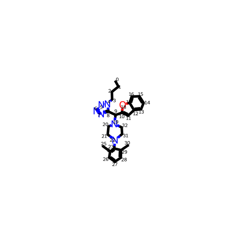 CCCCn1nnnc1C(c1cc2ccccc2o1)N1CCN(c2c(C)cccc2C)CC1